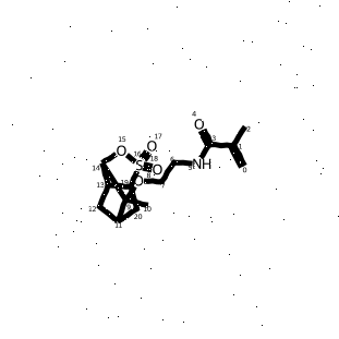 C=C(C)C(=O)NCCOC1(C)C2CC3C1OS(=O)(=O)C3C2